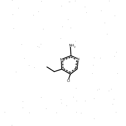 CCc1nc(N)ncc1Cl